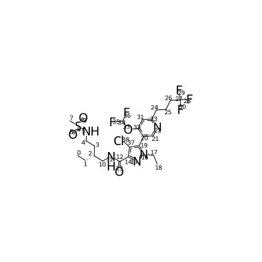 CC[C@H](CCNS(C)(=O)=O)CNC(=O)c1nn(CC)c(-c2cnc(CCCC(F)(F)F)cc2OC(F)F)c1Cl